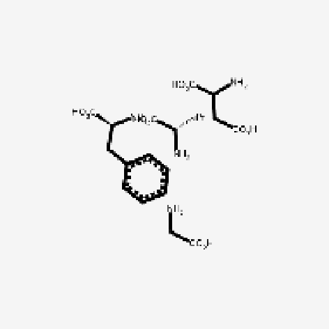 CC(C)[C@H](N)C(=O)O.NC(CC(=O)O)C(=O)O.NCC(=O)O.N[C@@H](Cc1ccccc1)C(=O)O